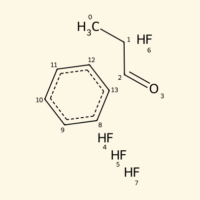 CCC=O.F.F.F.F.c1ccccc1